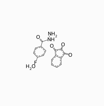 NNC(=O)c1ccc(F)cc1.O.O=c1c(=O)c2ccccc2c1=O